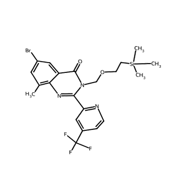 Cc1cc(Br)cc2c(=O)n(COCC[Si](C)(C)C)c(-c3cc(C(F)(F)F)ccn3)nc12